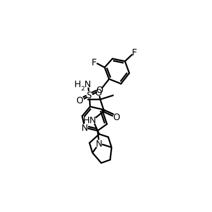 CC(C)(Oc1ccc(F)cc1F)C(=O)NC1CC2CCC(C1)N2c1ccc(S(N)(=O)=O)cn1